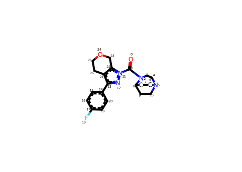 O=C(N1CCN2CCC1CC2)n1nc(-c2ccc(F)cc2)c2c1COCC2